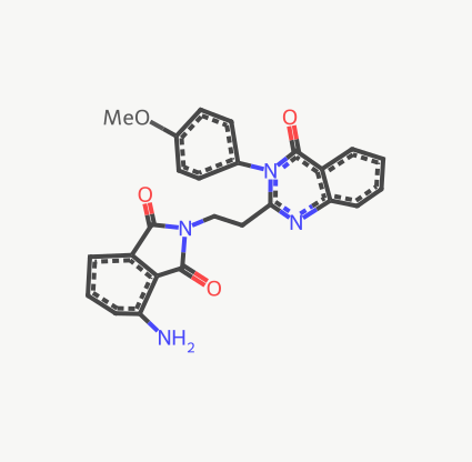 COc1ccc(-n2c(CCN3C(=O)c4cccc(N)c4C3=O)nc3ccccc3c2=O)cc1